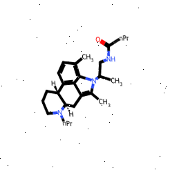 CCCC(=O)NCC(C)n1c(C)c2c3c(ccc(C)c31)[C@H]1CCCN(CCC)[C@@H]1C2